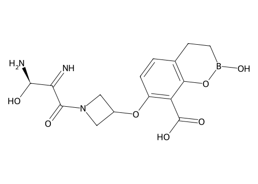 N=C(C(=O)N1CC(Oc2ccc3c(c2C(=O)O)OB(O)CC3)C1)[C@H](N)O